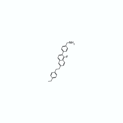 CCc1ccc(CCc2ccc3c(F)c(-c4ccc(CN)cc4)ccc3c2)cc1